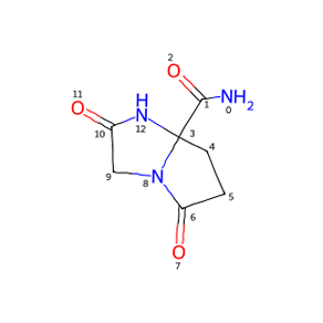 NC(=O)C12CCC(=O)N1CC(=O)N2